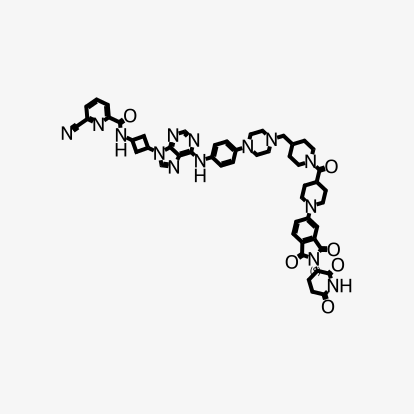 N#Cc1cccc(C(=O)NC2CC(n3cnc4c(Nc5ccc(N6CCN(CC7CCN(C(=O)C8CCN(c9ccc%10c(c9)C(=O)N([C@H]9CCC(=O)NC9=O)C%10=O)CC8)CC7)CC6)cc5)ncnc43)C2)n1